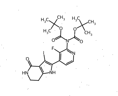 CC(C)(C)OC(=O)N(C(=O)OC(C)(C)C)c1nccc(-c2[nH]c3c(c2I)C(=O)NCC3)c1F